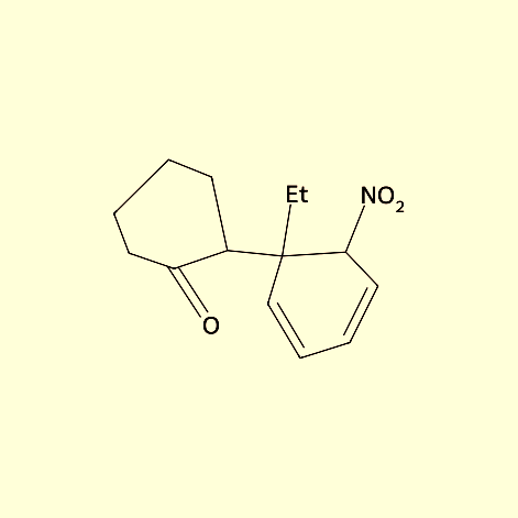 CCC1(C2CCCCC2=O)C=CC=CC1[N+](=O)[O-]